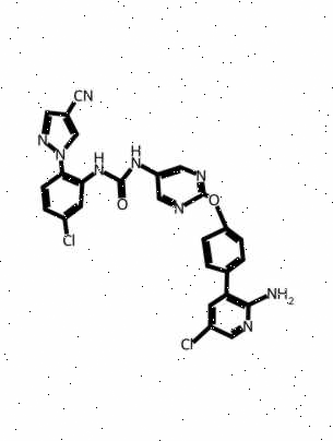 N#Cc1cnn(-c2ccc(Cl)cc2NC(=O)Nc2cnc(Oc3ccc(-c4cc(Cl)cnc4N)cc3)nc2)c1